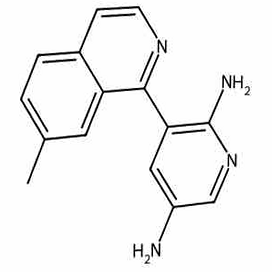 Cc1ccc2ccnc(-c3cc(N)cnc3N)c2c1